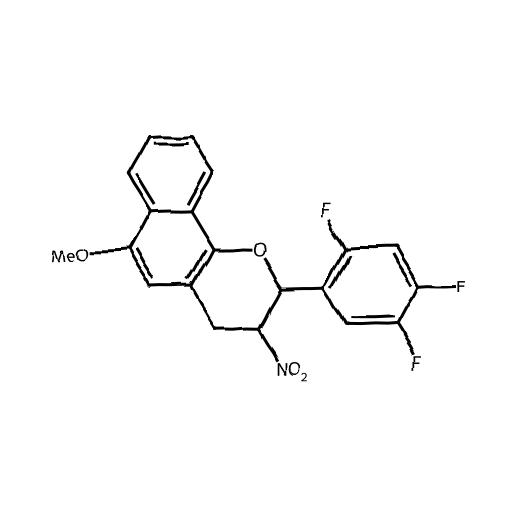 COc1cc2c(c3ccccc13)OC(c1cc(F)c(F)cc1F)C([N+](=O)[O-])C2